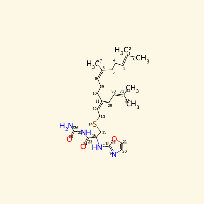 CC(C)=CCCC(C)=CCCC(=CCSCC(Nc1ncco1)C(=O)NC(N)=O)CC=C(C)C